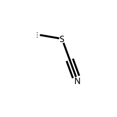 [C]SC#N